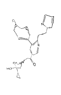 C[C@](O)(CNC(=O)c1cnc(CCc2ccccn2)c(-c2ccc(Cl)cc2)c1)C1CC1